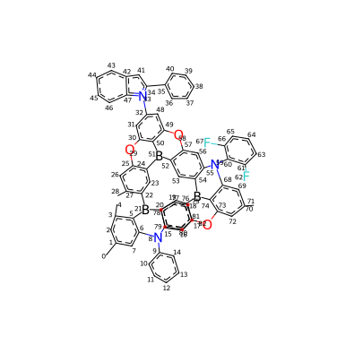 Cc1cc(C)c2c(c1)N(c1ccccc1)c1ccccc1B2c1cc2c(cc1C)Oc1cc(-n3c(-c4ccccc4)cc4ccccc43)cc3c1B2c1cc2c(cc1O3)N(c1c(F)cccc1F)c1cc(C)cc3c1B2c1ccccc1O3